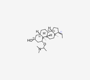 C/C=C1/CC[C@H]2[C@@H]3CC[C@H]4C[C@H](O)CC(OC(C)N(C)C)[C@]4(C)[C@H]3CC[C@]12C